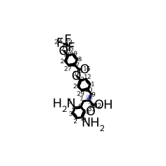 Nc1ccc(N)c(C/C(=C\c2ccc(OC(=O)c3ccc(OC(F)(F)F)cc3)cc2)C(=O)O)c1